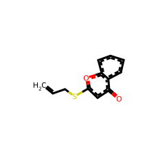 C=CCSc1cc(=O)c2ccccc2o1